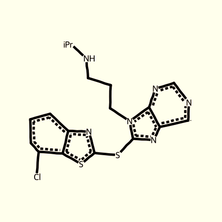 CC(C)NCCCn1c(Sc2nc3cccc(Cl)c3s2)nc2[c]ncnc21